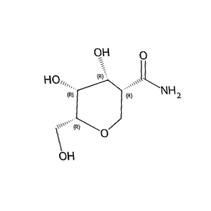 NC(=O)[C@@H]1CO[C@H](CO)[C@H](O)[C@@H]1O